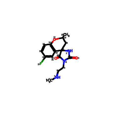 CNCCN1C(=O)NC2(CC(C)Oc3ccc(F)cc32)C1=O